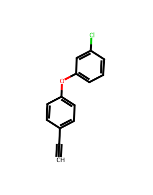 C#Cc1ccc(Oc2cc[c]c(Cl)c2)cc1